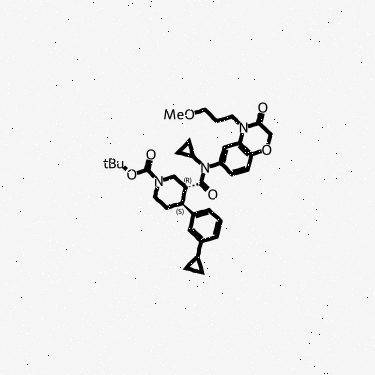 COCCCN1C(=O)COc2ccc(N(C(=O)[C@H]3CN(C(=O)OC(C)(C)C)CC[C@@H]3c3cccc(C4CC4)c3)C3CC3)cc21